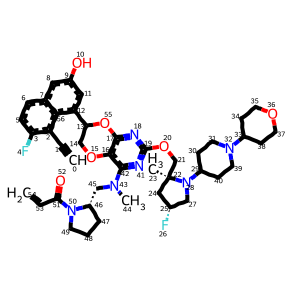 C#Cc1c(F)ccc2cc(O)cc(C3COc4c(nc(OC[C@]5(C)C[C@@H](F)CN5C5CCN(C6CCOCC6)CC5)nc4N(C)C[C@@H]4CCCN4C(=O)C=C)O3)c12